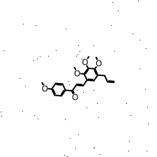 C=CCc1cc(C=CC(=O)c2ccc(OC)cc2)c(OC)c(OC)c1OC